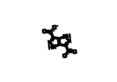 O=[N+]([O-])c1n[nH]c2c([N+](=O)[O-])n[nH]c12